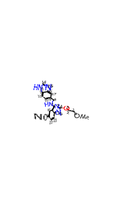 COCCOc1nc(NCc2ccc3[nH]cnc3c2)c2cc(C#N)ccc2n1